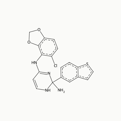 NC1(c2ccc3sccc3c2)N=C(Nc2c(Cl)ccc3c2OCO3)C=CN1